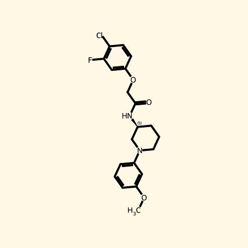 COc1cccc(N2CCC[C@H](NC(=O)COc3ccc(Cl)c(F)c3)C2)c1